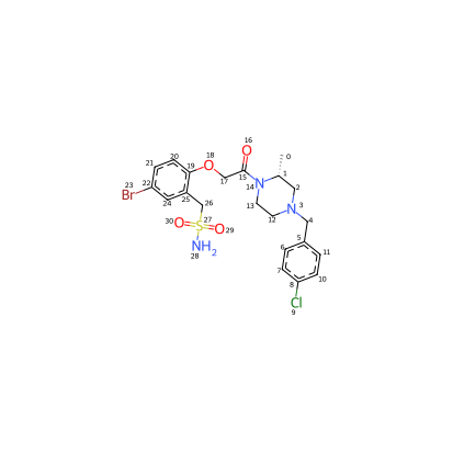 C[C@@H]1CN(Cc2ccc(Cl)cc2)CCN1C(=O)COc1ccc(Br)cc1CS(N)(=O)=O